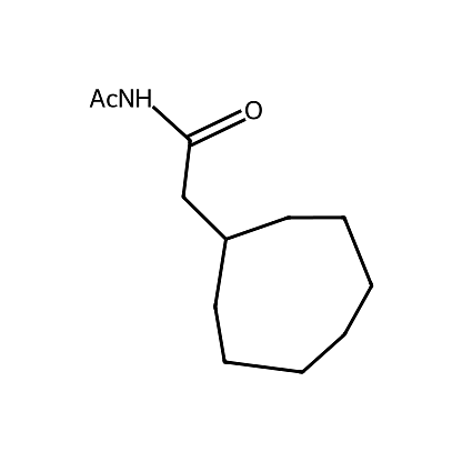 CC(=O)NC(=O)CC1CCCCCCC1